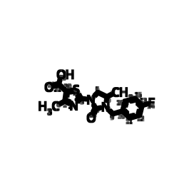 Cc1nc(N2CC(C)N(Cc3ccc(F)cc3)C2=O)sc1C(=O)O